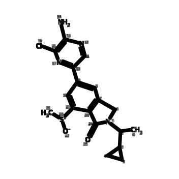 CC(C1CC1)N1Cc2cc(-c3cnc(N)c(Cl)n3)cc([S+](C)[O-])c2C1=O